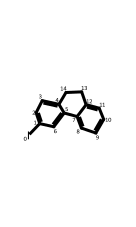 Ic1ccc2c(c1)-c1ccccc1CC2